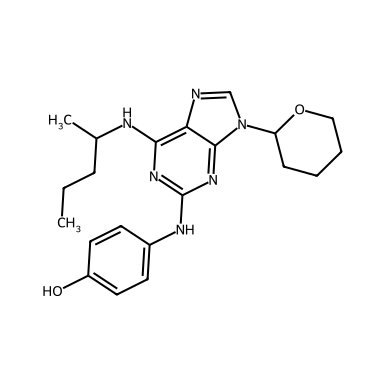 CCCC(C)Nc1nc(Nc2ccc(O)cc2)nc2c1ncn2C1CCCCO1